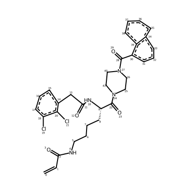 C=CC(=O)NCCCC[C@H](NC(=O)Cc1cccc(Cl)c1Cl)C(=O)N1CCN(C(=O)c2cccc3ccccc23)CC1